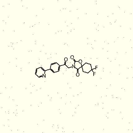 O=C(CN1C(=O)OC2(CCC(F)(F)CC2)C1=O)c1ccc(-c2ccccn2)cc1